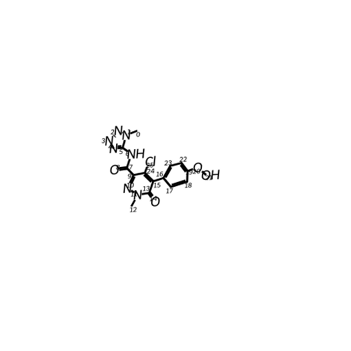 Cn1nnnc1NC(=O)c1nn(C)c(=O)c(-c2ccc(OO)cc2)c1Cl